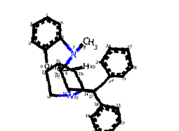 COc1ccccc1N(C)[C@H]1C2CCN(CC2)C1C(c1ccccc1)c1ccccc1